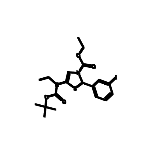 CCOC(=O)N1C=C(N(CC)C(=O)OC(C)(C)C)SC1c1cccc(I)c1